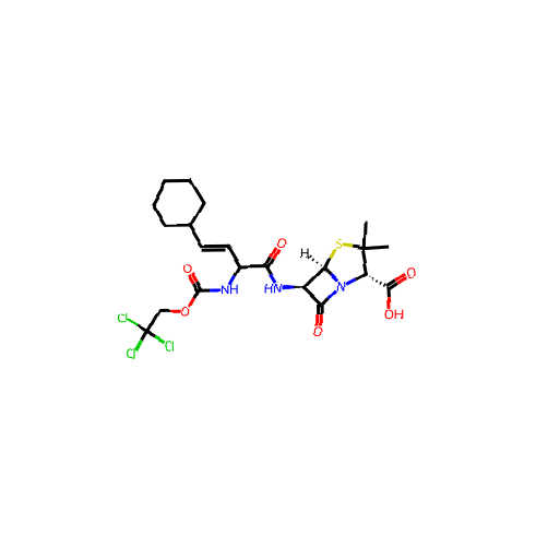 CC1(C)S[C@@H]2[C@H](NC(=O)C(/C=C/C3CCCCC3)NC(=O)OCC(Cl)(Cl)Cl)C(=O)N2[C@H]1C(=O)O